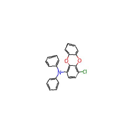 Clc1ccc(N(c2ccccc2)c2ccccc2)c2c1Oc1ccccc1O2